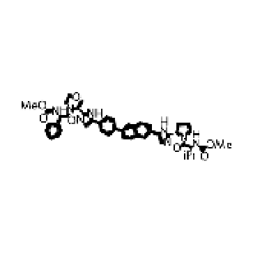 COC(=O)N[C@H](C(=O)N1CCC[C@H]1c1ncc(-c2ccc3cc(-c4ccc(-c5cnc([C@@H]6COCCN6C(=O)[C@H](NC(=O)OC)c6ccccc6)[nH]5)cc4)ccc3c2)[nH]1)C(C)C